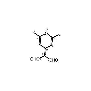 CC1=CC(=C(C=O)C=O)C=C(C)O1